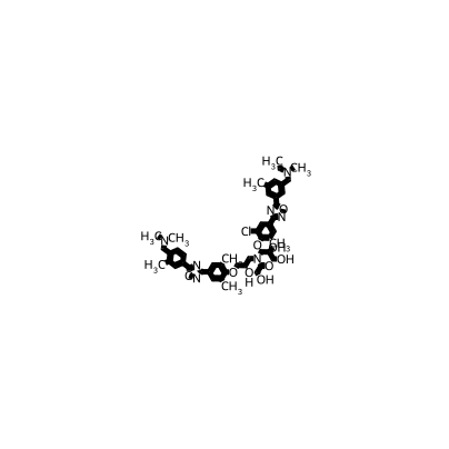 CCN(C)Cc1cc(C)cc(-c2nc(-c3cc(C)c(O[C@@H](C(O)CO)N(C[C@H](O)COc4c(C)cc(-c5noc(-c6ccc(CN(C)C)c(C)c6)n5)cc4C)C(=O)CO)c(Cl)c3)no2)c1